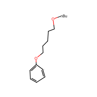 CCCCOCCCCCOc1[c]cccc1